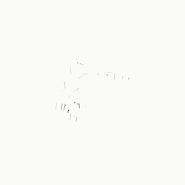 CC(C)NC(=O)c1ccc2cccc(COC=O)c2c1